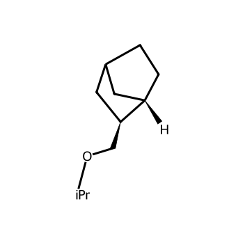 CC(C)OC[C@H]1CC2CC[C@H]1C2